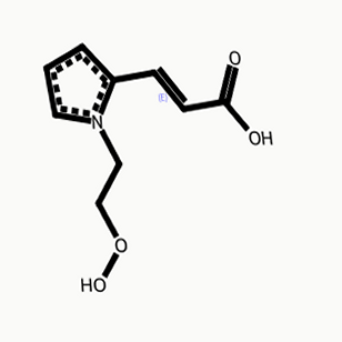 O=C(O)/C=C/c1cccn1CCOO